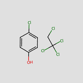 ClCC(Cl)(Cl)Cl.Oc1ccc(Cl)cc1